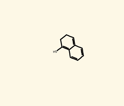 SC1=c2ccccc2=CCC1